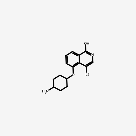 CCc1cnc(O)c2cccc(OC3CCC(N)CC3)c12